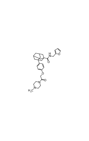 CN1CCN(C(=O)COc2ccc(C34CC5CC(CC(C(=O)NCc6ccco6)(C5)C3)C4)cc2)CC1